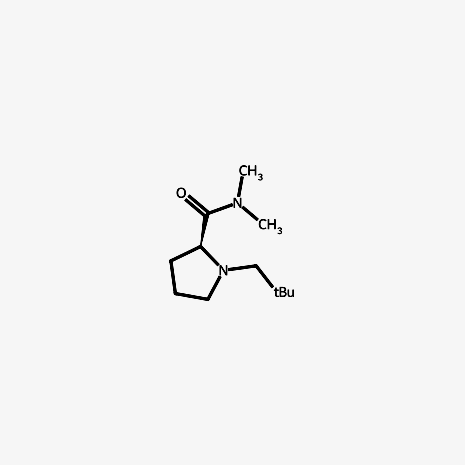 CN(C)C(=O)[C@@H]1CCCN1CC(C)(C)C